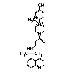 C[C@H]1CC2CN(C(=O)CCNC(C)(C)c3cccc4ncccc34)CC1N2c1ccc(C#N)cn1